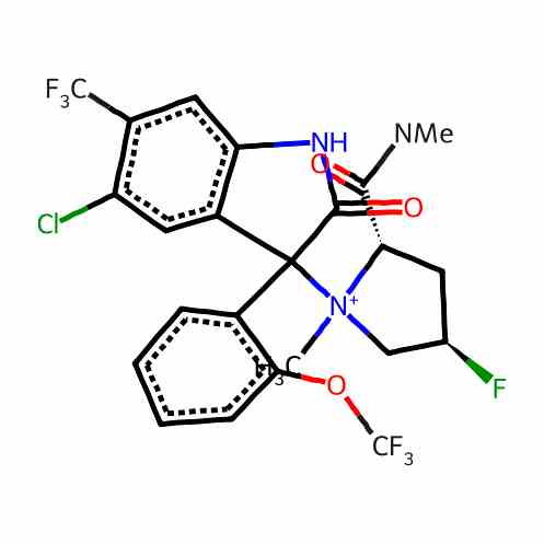 CNC(=O)[C@@H]1C[C@@H](F)C[N+]1(C)C1(c2ccccc2OC(F)(F)F)C(=O)Nc2cc(C(F)(F)F)c(Cl)cc21